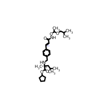 CC(C)COC(C)ONC(=O)/C=C/c1ccc(CN[C@@](C)(CC(C)C)C(=O)OC2CCCC2)cc1